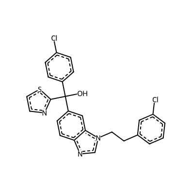 OC(c1ccc(Cl)cc1)(c1ccc2ncn(CCc3cccc(Cl)c3)c2c1)c1nccs1